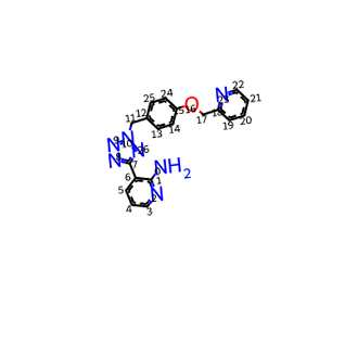 Nc1ncccc1-c1nnn(Cc2ccc(OCc3ccccn3)cc2)n1